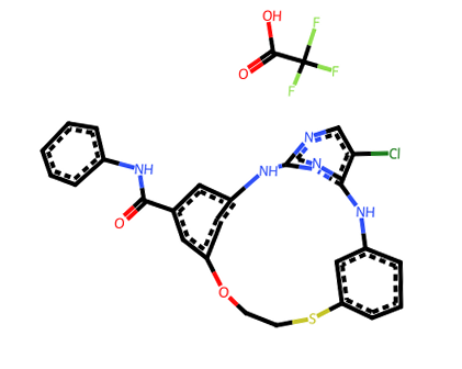 O=C(Nc1ccccc1)c1cc2cc(c1)OCCSc1cccc(c1)Nc1nc(ncc1Cl)N2.O=C(O)C(F)(F)F